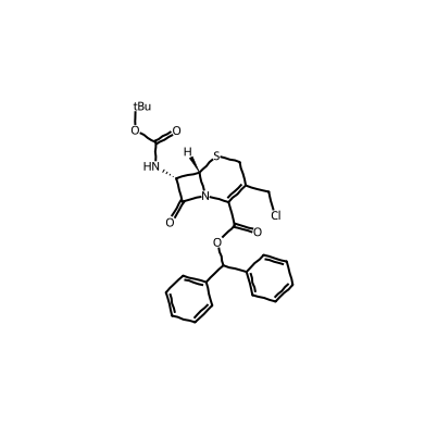 CC(C)(C)OC(=O)N[C@H]1C(=O)N2C(C(=O)OC(c3ccccc3)c3ccccc3)=C(CCl)CS[C@@H]12